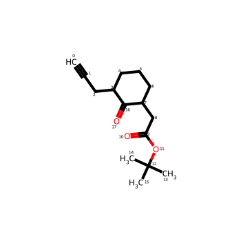 C#CCC1CCCC(CC(=O)OC(C)(C)C)C1=O